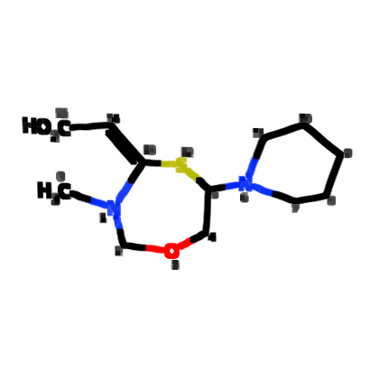 CN1COCC(N2CCCCC2)S/C1=C/C(=O)O